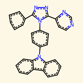 c1ccc(-c2nnc(-c3ccncn3)n2-c2ccc(-n3c4ccccc4c4ccccc43)cc2)cc1